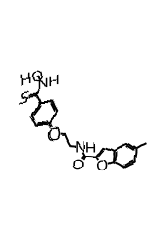 Cc1ccc2oc(C(=O)NCCOc3ccc(C(=S)NO)cc3)cc2c1